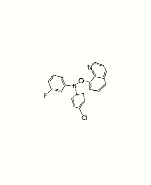 Fc1cccc(B(Oc2cccc3cccnc23)c2ccc(Cl)cc2)c1